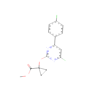 COC(=O)C1(Oc2nc(Cl)cc(-c3ccc(Cl)cc3)n2)CC1